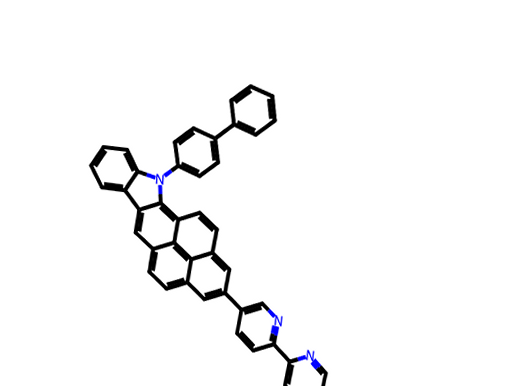 c1ccc(-c2ccc(-n3c4ccccc4c4cc5ccc6cc(-c7ccc(-c8ccccn8)nc7)cc7ccc(c5c67)c43)cc2)cc1